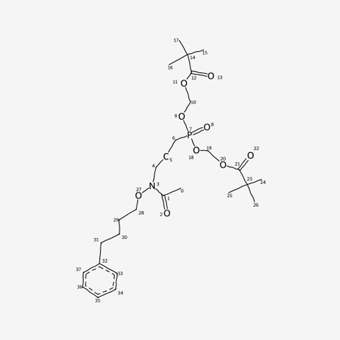 CC(=O)N(CCCP(=O)(OCOC(=O)C(C)(C)C)OCOC(=O)C(C)(C)C)OCCCCc1ccccc1